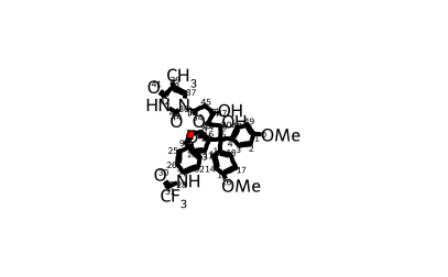 COc1ccc(C(c2ccccc2)(c2ccc(OC)cc2)C(O)[C@@]2(COc3ccc(NC(=O)C(F)(F)F)cc3)O[C@@H](n3cc(C)c(=O)[nH]c3=O)C[C@@H]2O)cc1